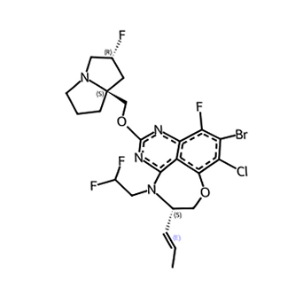 C/C=C/[C@H]1COc2c(Cl)c(Br)c(F)c3nc(OC[C@@]45CCCN4C[C@H](F)C5)nc(c23)N1CC(F)F